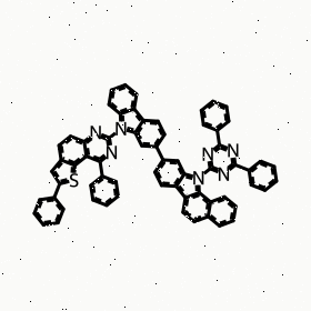 c1ccc(-c2nc(-c3ccccc3)nc(-n3c4cc(-c5ccc6c7ccccc7n(-c7nc(-c8ccccc8)c8c(ccc9cc(-c%10ccccc%10)sc98)n7)c6c5)ccc4c4ccc5ccccc5c43)n2)cc1